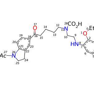 CCOc1ccccc1NCCN(CCCCC(=O)c1ccc2c(c1)CCN2C(C)=O)C(=O)O